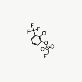 O=S(=O)(CF)Oc1cccc(C(F)(F)F)c1Cl